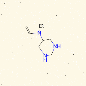 C=CN(CC)C1CNCNC1